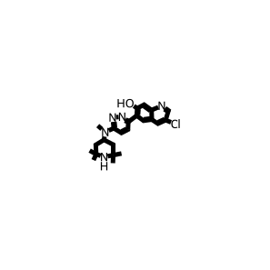 CN(c1ccc(-c2cc3cc(Cl)cnc3cc2O)nn1)C1CC(C)(C)NC(C)(C)C1